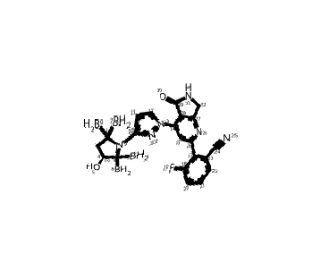 BC1(B)C[C@H](O)C(B)(B)N1c1ccn(-c2cc(-c3c(F)cccc3C#N)nc3c2C(=O)NC3)n1